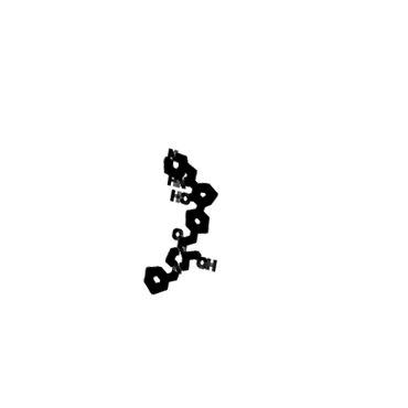 O=C(Cc1ccc(-c2cccc(-c3cc4cnccc4[nH]3)c2O)cc1)N1CCN(Cc2ccccc2)CC1CO